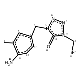 Cc1cc(Cn2nnn(CC(C)C)c2=O)ccc1N